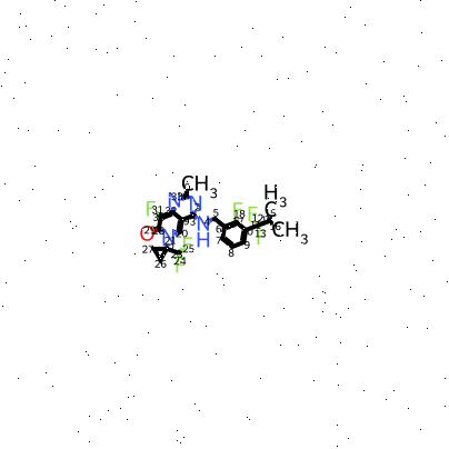 Cc1nc(NCc2cccc(C(F)(F)C(C)C)c2F)c2cn(C3(C(F)F)CC3)c(=O)c(F)c2n1